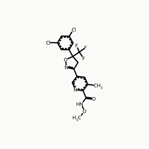 CONC(=O)c1ncc(C2=NOC(c3cc(Cl)cc(Cl)c3)(C(F)(F)F)C2)cc1C